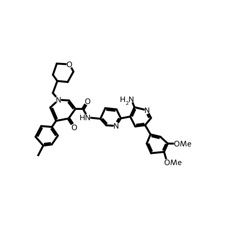 COc1ccc(-c2cnc(N)c(-c3ccc(NC(=O)c4cn(CC5CCOCC5)cc(-c5ccc(C)cc5)c4=O)cn3)c2)cc1OC